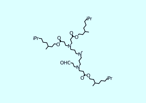 CC(C)CCCC(C)CCOC(=O)CCN(CCC=O)CCCN(C)CCCN(CCC(=O)OCCC(C)CCCC(C)C)CCC(=O)OCCC(C)CCCC(C)C